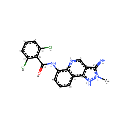 CC(=O)n1[nH]c2c(cnc3c(NC(=O)c4c(Cl)cccc4Cl)cccc32)c1=N